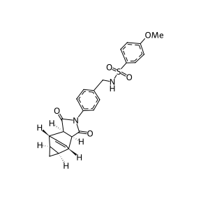 COc1ccc(S(=O)(=O)NCc2ccc(N3C(=O)[C@@H]4[C@@H]5C=C[C@@H]([C@H]6C[C@@H]56)[C@@H]4C3=O)cc2)cc1